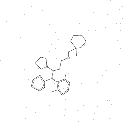 Cc1cccc(C)c1N(c1ccccc1)C(CCOCC1(C)CCCCC1)N1CCCC1